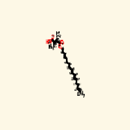 C=C(C(=O)OCCCCCCCCCCCCCCCCCC)C(C)C(=O)O